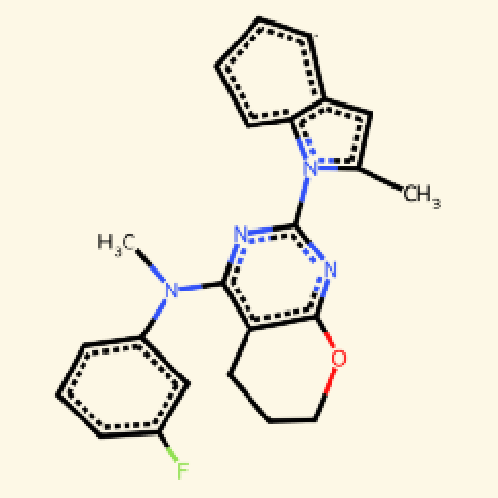 Cc1cc2[c]cccc2n1-c1nc2c(c(N(C)c3cccc(F)c3)n1)CCCO2